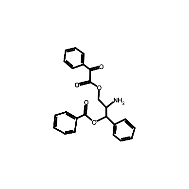 NC(COC(=O)C(=O)c1ccccc1)C(OC(=O)c1ccccc1)c1ccccc1